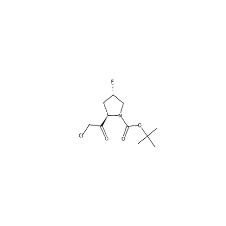 CC(C)(C)OC(=O)N1C[C@@H](F)C[C@@H]1C(=O)CCl